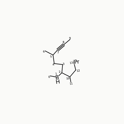 CBC(CCC(C)C#CC)C(C)CC(C)C